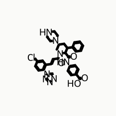 O=C(O)c1ccc(NC(=O)C2C(c3ccccc3)CC(N3CCNCC3)CN2C(=O)C=Cc2cc(Cl)ccc2-n2cnnn2)cc1